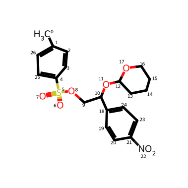 Cc1ccc(S(=O)(=O)OCC(OC2CCCCO2)c2ccc([N+](=O)[O-])cc2)cc1